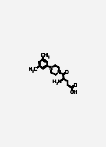 Cc1cc(C)cc(N2CCN(C(=O)C(N)CCC(=O)O)CC2)c1